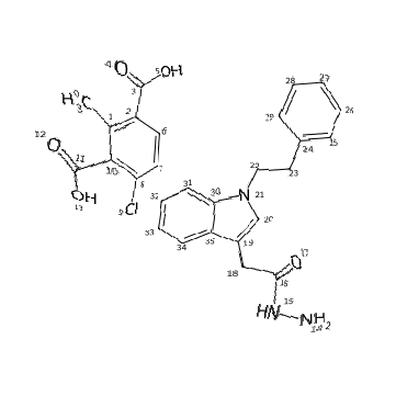 Cc1c(C(=O)O)ccc(Cl)c1C(=O)O.NNC(=O)Cc1cn(CCc2ccccc2)c2ccccc12